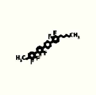 CCCCCc1ccc(C2CCC(c3ccc(-c4ccc(CC)c(F)c4F)c(F)c3F)CC2)c(F)c1F